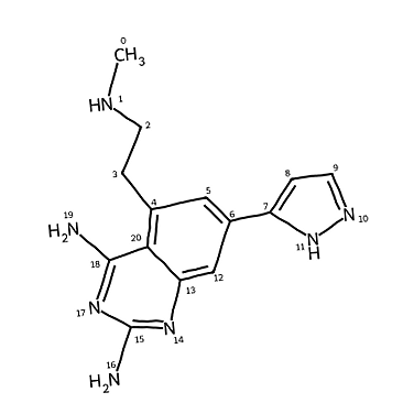 CNCCc1cc(-c2ccn[nH]2)cc2nc(N)nc(N)c12